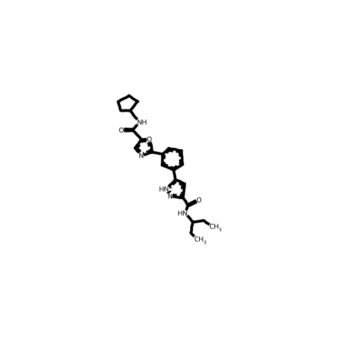 CCC(CC)NC(=O)c1cc(-c2cccc(-c3ncc(C(=O)NC4CCCC4)o3)c2)[nH]n1